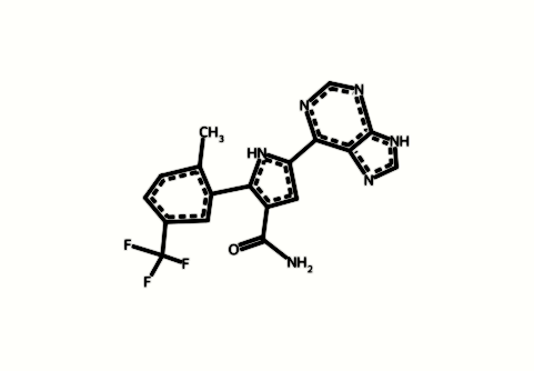 Cc1ccc(C(F)(F)F)cc1-c1[nH]c(-c2ncnc3[nH]cnc23)cc1C(N)=O